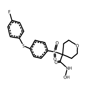 O=C(NO)C1(S(=O)(=O)c2ccc(Sc3ccc(F)cc3)cc2)CCOCC1